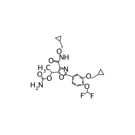 CC(OC(N)=O)c1oc(-c2ccc(OC(F)F)c(OCC3CC3)c2)nc1C(=O)NOCC1CC1